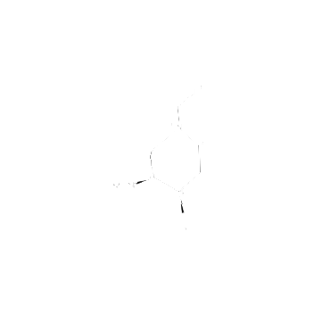 CN[C@H]1CN(CI)CC[C@H]1C